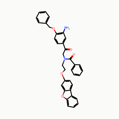 Nc1cc(C(=O)CN(CCOc2ccc3c(c2)oc2ccccc23)C(=O)c2ccccc2)ccc1OCc1ccccc1